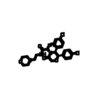 CCCC(C(=O)NCCN1CCOCC1)N1C(=O)CO[C@H](c2ccc(Cl)cc2)[C@@H]1c1ccc(Cl)cc1